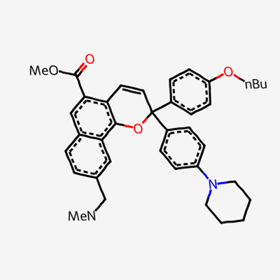 CCCCOc1ccc(C2(c3ccc(N4CCCCC4)cc3)C=Cc3c(C(=O)OC)cc4ccc(CNC)cc4c3O2)cc1